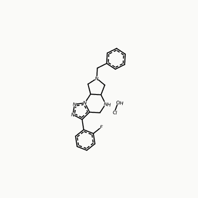 Fc1ccccc1-c1nnn2c1CNC1CN(Cc3ccccc3)CC12.OCl